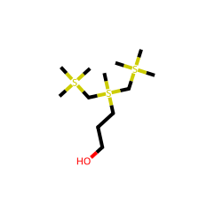 CS(C)(C)CS(C)(CCCO)CS(C)(C)C